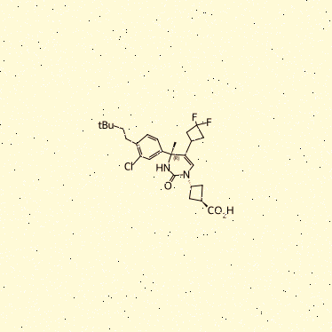 CC(C)(C)CCc1ccc([C@@]2(C)NC(=O)N([C@H]3C[C@H](C(=O)O)C3)C=C2C2CC(F)(F)C2)cc1Cl